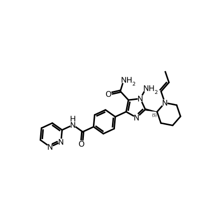 CC=CN1CCCC[C@H]1c1nc(-c2ccc(C(=O)Nc3cccnn3)cc2)c(C(N)=O)n1N